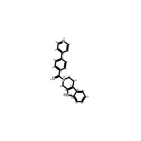 O=C(c1ccc(-c2ccncc2)cc1)N1CCc2c([nH]c3ccccc23)C1